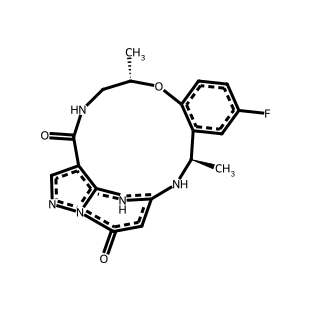 C[C@H]1CNC(=O)c2cnn3c(=O)cc([nH]c23)N[C@H](C)c2cc(F)ccc2O1